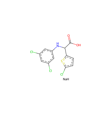 O=C(O)C(Nc1cc(Cl)cc(Cl)c1)c1ccc(Cl)s1.[NaH]